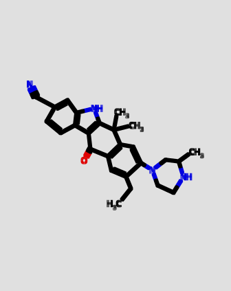 CCc1cc2c(cc1N1CCNC(C)C1)C(C)(C)c1[nH]c3cc(C#N)ccc3c1C2=O